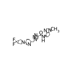 Cn1cnc2c1CC[C@H]2NC(=O)c1cn(Cc2ccc(N3CC4C(C3)C4(F)F)cn2)nn1